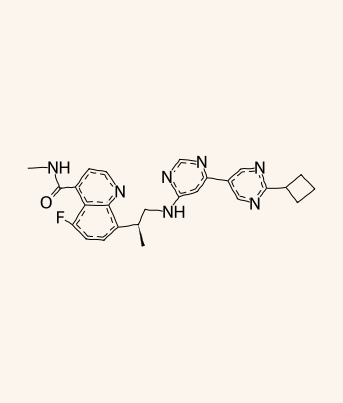 CNC(=O)c1ccnc2c([C@H](C)CNc3cc(-c4cnc(C5CCC5)nc4)ncn3)ccc(F)c12